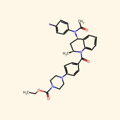 CCOC(=O)N1CCN(c2ccc(C(=O)N3c4ccccc4[C@H](N(C(C)=O)c4ccc(I)cc4)C[C@@H]3C)cc2)CC1